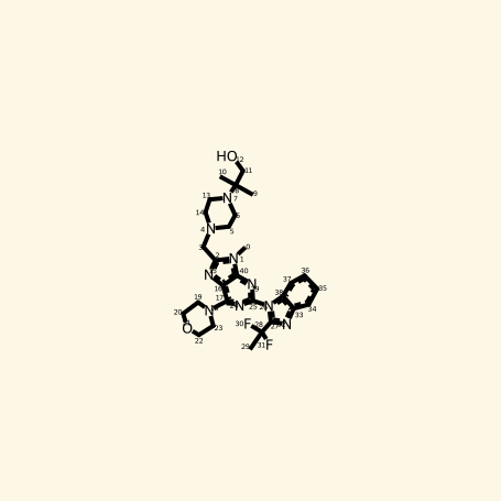 Cn1c(CN2CCN(C(C)(C)CO)CC2)nc2c(N3CCOCC3)nc(-n3c(C(C)(F)F)nc4ccccc43)nc21